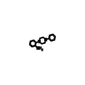 Nc1ccccc1N1CCN(c2ccccc2)CC1